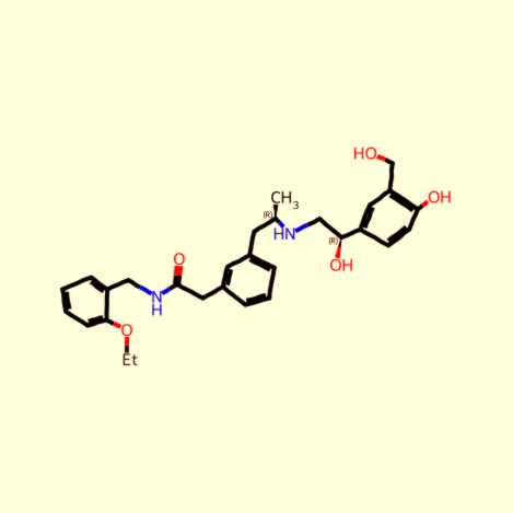 CCOc1ccccc1CNC(=O)Cc1cccc(C[C@@H](C)NC[C@H](O)c2ccc(O)c(CO)c2)c1